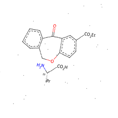 CC(C)[C@H](N)C(=O)O.CCOC(=O)c1ccc2c(c1)C(=O)c1ccccc1CO2